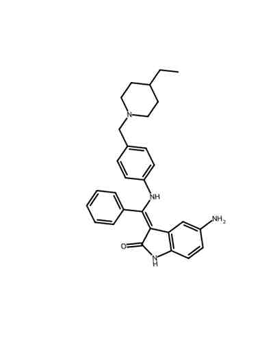 CCC1CCN(Cc2ccc(NC(=C3C(=O)Nc4ccc(N)cc43)c3ccccc3)cc2)CC1